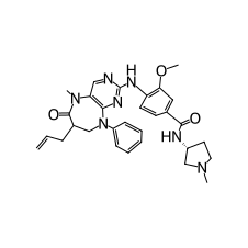 C=CCC1CN(c2ccccc2)c2nc(Nc3ccc(C(=O)N[C@@H]4CCN(C)C4)cc3OC)ncc2N(C)C1=O